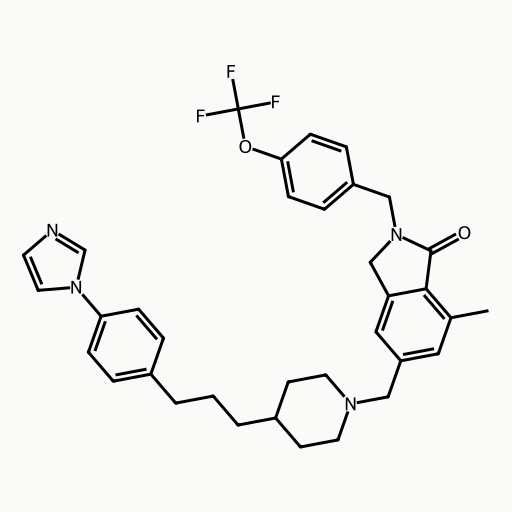 Cc1cc(CN2CCC(CCCc3ccc(-n4ccnc4)cc3)CC2)cc2c1C(=O)N(Cc1ccc(OC(F)(F)F)cc1)C2